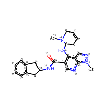 CCn1ncc2c(NC3CC=CCN3C(C)=O)c(C(=O)NC3Cc4ccccc4C3)cnc21